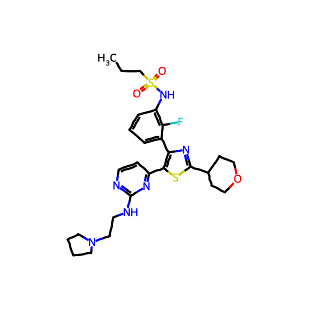 CCCS(=O)(=O)Nc1cccc(-c2nc(C3CCOCC3)sc2-c2ccnc(NCCN3CCCC3)n2)c1F